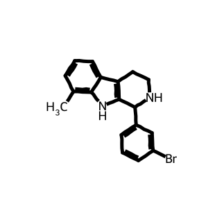 Cc1cccc2c3c([nH]c12)C(c1cccc(Br)c1)NCC3